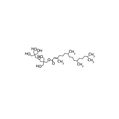 C/C(=C\C(=O)OCC(CO)(CO)COCC(CO)(CO)CO)CCCC(C)CCCC(C)CCCC(C)C